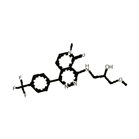 COCC(O)CNc1nnc(-c2ccc(C(F)(F)F)cc2)c2ccn(C)c(=O)c12